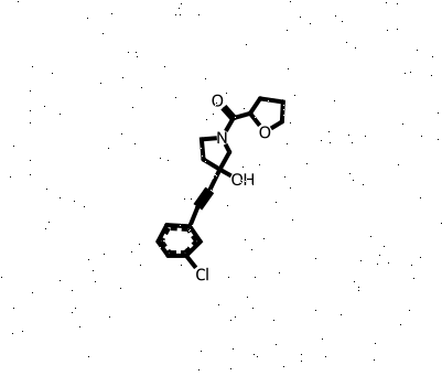 O=C(C1CCCO1)N1CCC(O)(C#Cc2cccc(Cl)c2)C1